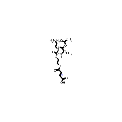 CC(C)OC(=O)[C@H](C)N[P@@](=O)(OCCOC(=O)/C=C/C(=O)O)SCCN